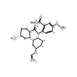 C=CO[C@H]1CC[C@H](N(c2ccc(OCCCC)cc2C(=O)OC)C(=O)[C@H]2CC[C@H](C)CC2)CC1